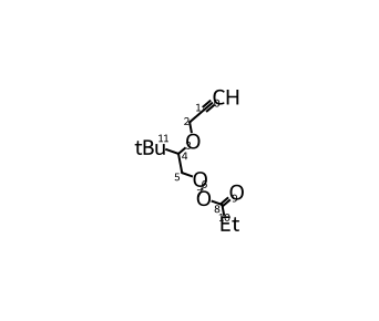 C#CCOC(COOC(=O)CC)C(C)(C)C